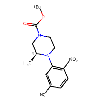 C[C@H]1CN(C(=O)OC(C)(C)C)CCN1c1cc(C#N)ccc1[N+](=O)[O-]